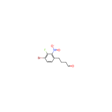 O=CCCCc1ccc(Br)c(F)c1[N+](=O)[O-]